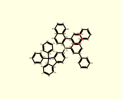 c1ccc(-c2cc(-c3ccccc3)cc(N(c3ccc4c(c3)C(c3ccccc3)(c3ccccc3)c3ccccc3-4)c3ccc4ccccc4c3-c3ccccc3)c2)cc1